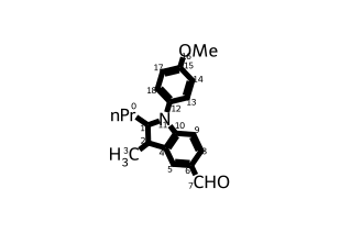 CCCC1C(C)c2cc(C=O)ccc2N1c1ccc(OC)cc1